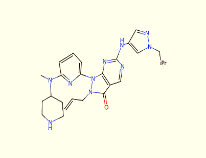 C=CCn1c(=O)c2cnc(Nc3cnn(CC(C)C)c3)nc2n1-c1cccc(N(C)C2CCNCC2)n1